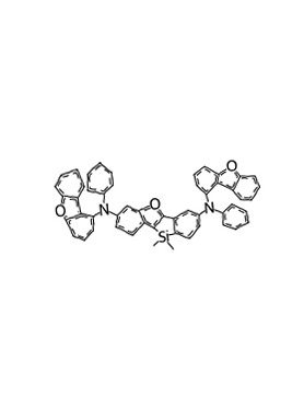 C[Si]1(C)c2ccc(N(c3ccccc3)c3cccc4oc5ccccc5c34)cc2-c2oc3cc(N(c4ccccc4)c4cccc5oc6ccccc6c45)ccc3c21